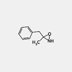 CC1(Cc2ccccc2)NO1